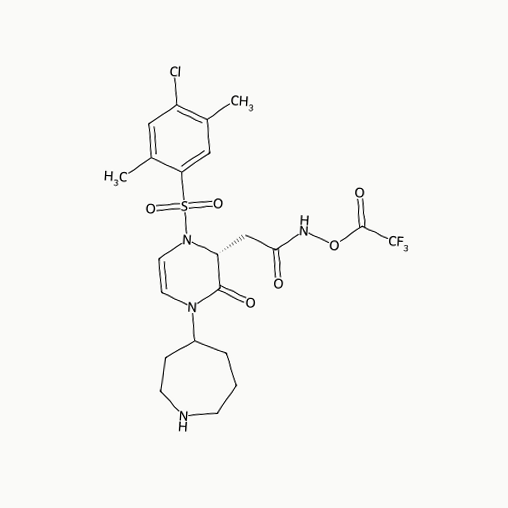 Cc1cc(S(=O)(=O)N2C=CN(C3CCCNCC3)C(=O)[C@H]2CC(=O)NOC(=O)C(F)(F)F)c(C)cc1Cl